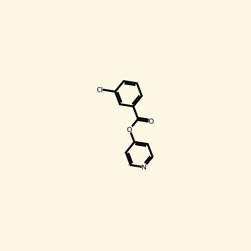 O=C(Oc1c[c]ncc1)c1cccc(Cl)c1